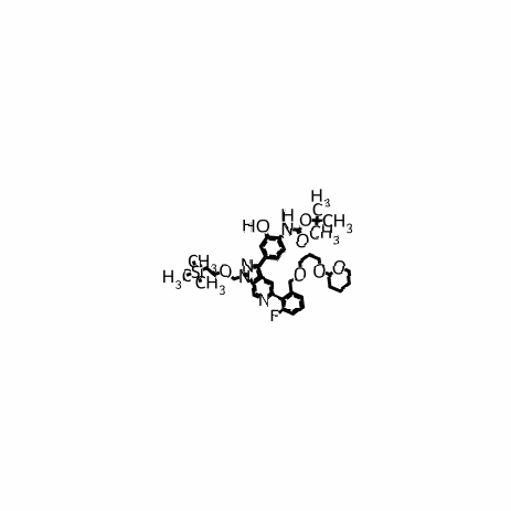 CC(C)(C)OC(=O)Nc1ccc(-c2nn(COCC[Si](C)(C)C)c3cnc(-c4c(F)cccc4COCCCOC4CCCCO4)cc23)cc1O